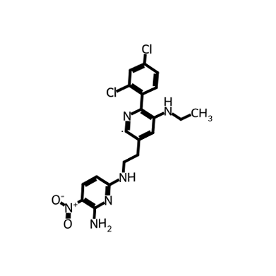 CCNc1cc(CCNc2ccc([N+](=O)[O-])c(N)n2)[c]nc1-c1ccc(Cl)cc1Cl